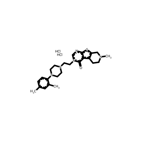 Cc1ccc(N2CCN(CCn3cnc4sc5c(c4c3=O)CCN(C)C5)CC2)c(C)c1.Cl.Cl